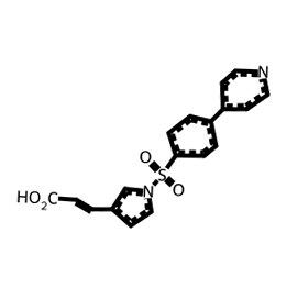 O=C(O)C=Cc1ccn(S(=O)(=O)c2ccc(-c3ccncc3)cc2)c1